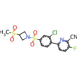 CS(=O)(=O)C1CN(S(=O)(=O)c2ccc(-c3ccc(F)c(C#N)n3)c(Cl)c2)C1